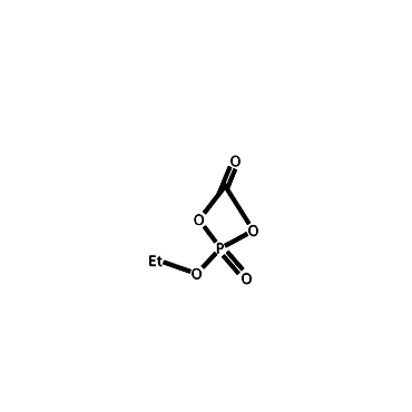 CCOP1(=O)OC(=O)O1